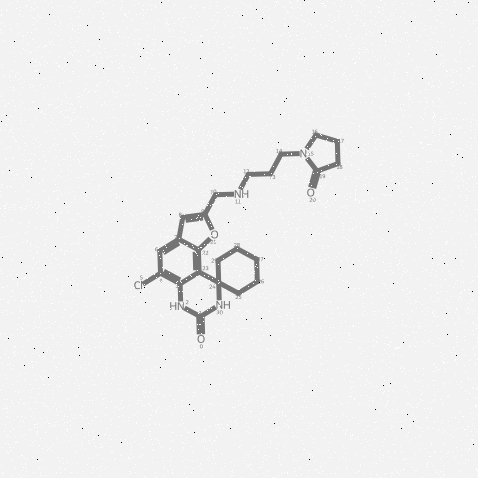 O=C1Nc2c(Cl)cc3cc(CNCCCN4CCCC4=O)oc3c2C2(CCCCC2)N1